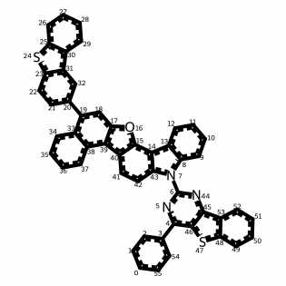 c1ccc(-c2nc(-n3c4ccccc4c4c5oc6cc(-c7ccc8sc9ccccc9c8c7)c7ccccc7c6c5ccc43)nc3c2sc2ccccc23)cc1